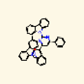 c1ccc(-c2cc(-c3ccccc3)nc(-n3c4ccccc4c4cccc(-c5ccc6c(c5)c5ccccc5n6-c5ccccc5)c43)n2)cc1